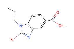 CCCn1c(Br)nc2cc(C(=O)OC)ccc21